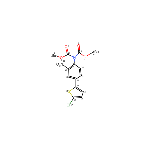 CC(C)(C)OC(=O)N(C(=O)OC(C)(C)C)c1ccc(-c2ccc(Cl)s2)cc1[N+](=O)[O-]